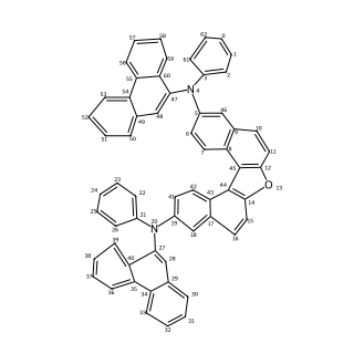 c1ccc(N(c2ccc3c(ccc4oc5ccc6cc(N(c7ccccc7)c7cc8ccccc8c8ccccc78)ccc6c5c43)c2)c2cc3ccccc3c3ccccc23)cc1